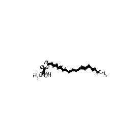 CCCCCCCCC=CCCCCCCCC(=O)OC(=O)C(C)O